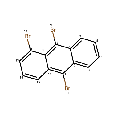 Brc1c2ccccc2c(Br)c2c(Br)cccc12